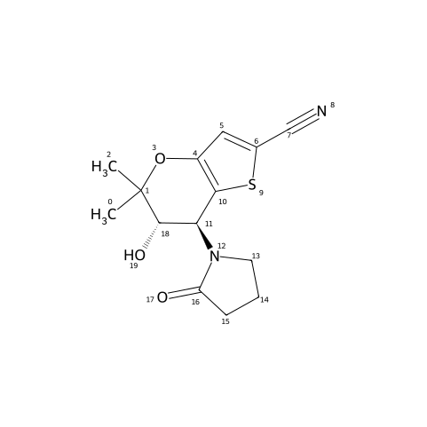 CC1(C)Oc2cc(C#N)sc2[C@@H](N2CCCC2=O)[C@@H]1O